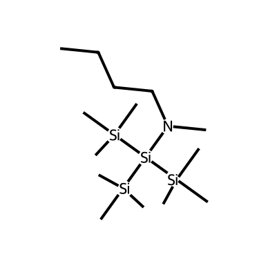 CCCCN(C)[Si]([Si](C)(C)C)([Si](C)(C)C)[Si](C)(C)C